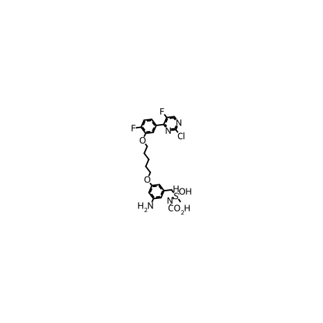 C[SH](O)(Cc1cc(N)cc(OCCCCCOc2cc(-c3nc(Cl)ncc3F)ccc2F)c1)=NC(=O)O